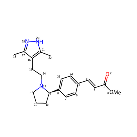 COC(=O)/C=C/c1ccc([C@H]2CCCN2CCc2c(C)n[nH]c2C)cc1